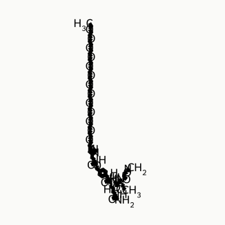 C=NOCC(=O)N[C@@H](CC(C)C)C(=O)N[C@@H](CCCNC(N)=O)C(=O)Nc1ccc(COC(=O)NCc2cn(CCOCCOCCOCCOCCOCCOCCOCCOCCOCCOCCOCCOCCOCC)nn2)cc1